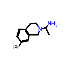 CC(C)c1ccc2c(c1)CN(C(C)N)CC2